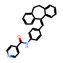 O=C(Nc1ccc(C=C2c3ccccc3CCc3ccccc32)cc1)c1ccncc1